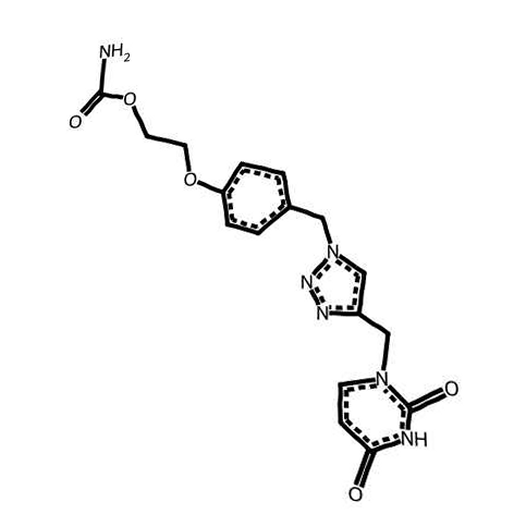 NC(=O)OCCOc1ccc(Cn2cc(Cn3ccc(=O)[nH]c3=O)nn2)cc1